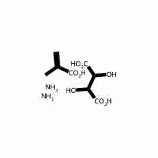 C=C(C)C(=O)O.N.N.O=C(O)C(O)C(O)C(=O)O